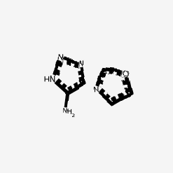 Nc1cnn[nH]1.c1cocn1